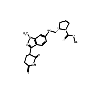 Cn1nc(C2CCC(=O)NC2=O)c2ccc(NC[C@@H]3CCCN3C(=O)OC(C)(C)C)cc21